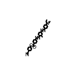 CCN(CC)c1ccc(N=Nc2ccc(N=Nc3ccc(C(=O)Oc4ccc(C#N)cc4)cc3)c(C)c2)cc1